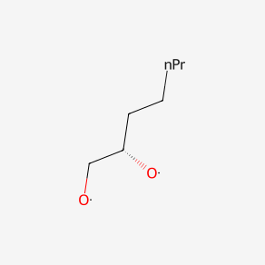 CCCCC[C@H]([O])C[O]